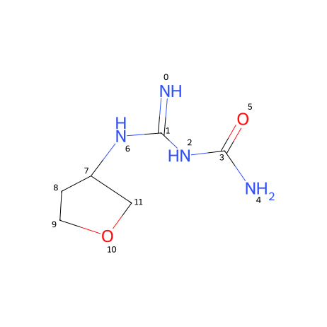 N=C(NC(N)=O)NC1CCOC1